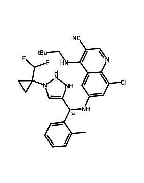 Cc1ccccc1[C@H](Nc1cc(Cl)c2ncc(C#N)c(NCC(C)(C)C)c2c1)C1=CN(C2(C(F)F)CC2)NN1